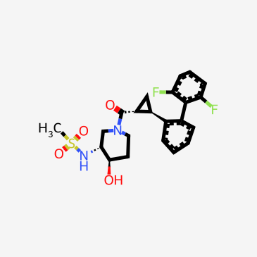 CS(=O)(=O)N[C@@H]1CN(C(=O)[C@@H]2C[C@H]2c2ccccc2-c2c(F)cccc2F)CC[C@H]1O